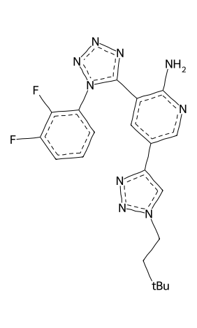 CC(C)(C)CCn1cc(-c2cnc(N)c(-c3nnnn3-c3cccc(F)c3F)c2)nn1